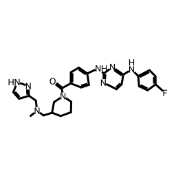 CN(Cc1cc[nH]n1)CC1CCCN(C(=O)c2ccc(Nc3nccc(Nc4ccc(F)cc4)n3)cc2)C1